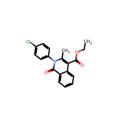 CCOC(=O)c1c(C)n(-c2ccc(Cl)cc2)c(=O)c2ccccc12